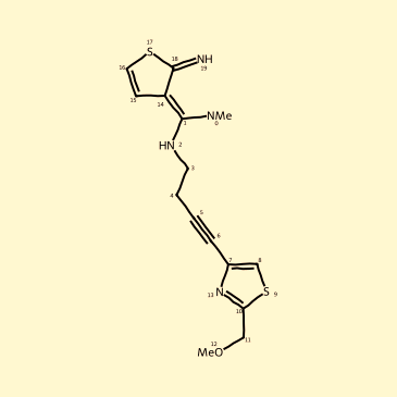 CN/C(NCCC#Cc1csc(COC)n1)=C1/C=CSC1=N